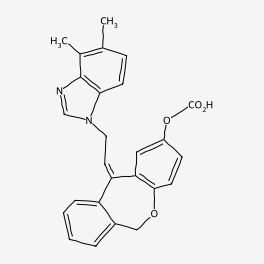 Cc1ccc2c(ncn2CC=C2c3ccccc3COc3ccc(OC(=O)O)cc32)c1C